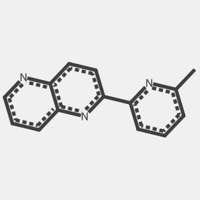 Cc1cccc(-c2ccc3ncccc3n2)n1